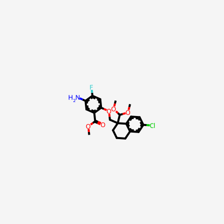 COC(=O)c1cc(N)c(F)cc1OCC1(C(OC)OC)CCCc2cc(Cl)ccc21